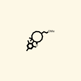 COCCC1CCCCC(C)(C)C(c2c(C)cc(C)cc2C)C(=O)CCC1